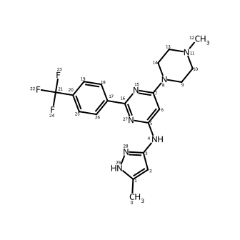 Cc1cc(Nc2cc(N3CCN(C)CC3)nc(-c3ccc(C(F)(F)F)cc3)n2)n[nH]1